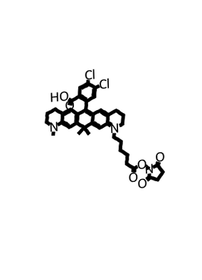 CN1CCCc2cc3c(cc21)C(C)(C)c1cc2c(cc1=C3c1cc(Cl)c(Cl)cc1C(=O)O)CCC[N+]=2CCCCCC(=O)ON1C(=O)CCC1=O